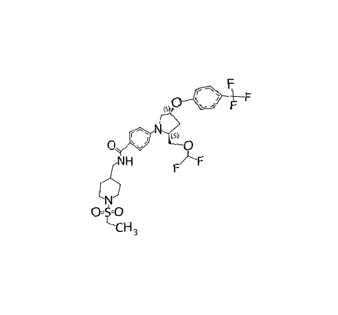 CCS(=O)(=O)N1CCC(CNC(=O)c2ccc(N3C[C@@H](Oc4ccc(C(F)(F)F)cc4)C[C@H]3COC(F)F)cc2)CC1